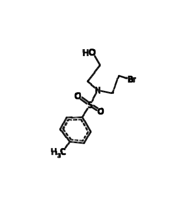 Cc1ccc(S(=O)(=O)N(CCO)CCBr)cc1